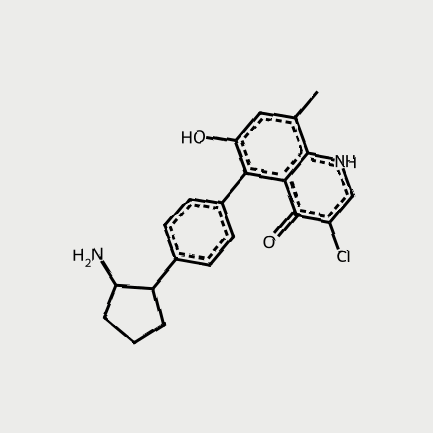 Cc1cc(O)c(-c2ccc(C3CCCC3N)cc2)c2c(=O)c(Cl)c[nH]c12